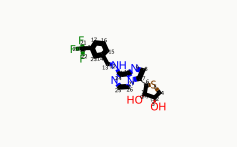 O[C@@H]1[C@H](O)CS[C@H]1c1cnc2c(NCc3cccc(C(F)(F)F)c3)nccn12